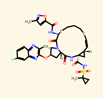 Cc1cc(C(=O)N[C@H]2CCCCC/C=C\[C@@H]3C[C@@]3(C(=O)NS(=O)(=O)C3(C)CC3)NC(=O)[C@@H]3C[C@@H](Oc4nc5cc(F)ccc5nc4C)CN3C2=O)on1